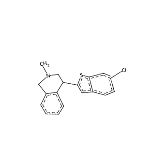 CN1Cc2ccccc2C(c2cc3ccc(Cl)cc3s2)C1